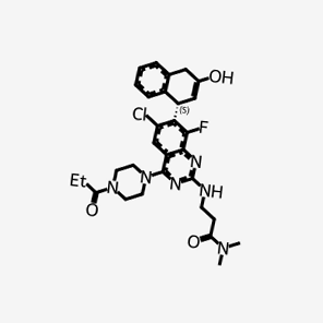 CCC(=O)N1CCN(c2nc(NCCC(=O)N(C)C)nc3c(F)c([C@H]4C=C(O)Cc5ccccc54)c(Cl)cc23)CC1